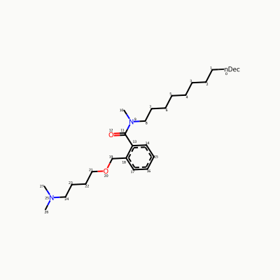 CCCCCCCCCCCCCCCCCCN(C)C(=O)c1ccccc1COCCCCN(C)C